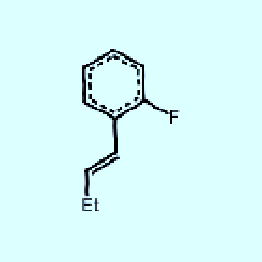 CCC=Cc1ccccc1F